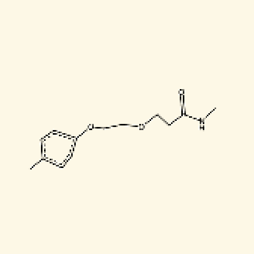 CNC(=O)CCOCCOc1ccc(C)cc1